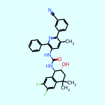 Cc1cc(NC(=O)N[C@@H]2c3cc(F)c(F)cc3C(C)(C)C[C@H]2O)c(-c2ccccc2)nc1-c1cccc(C#N)c1